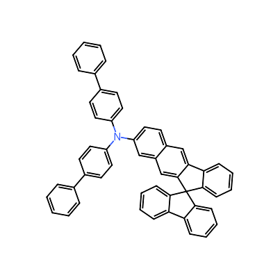 c1ccc(-c2ccc(N(c3ccc(-c4ccccc4)cc3)c3ccc4cc5c(cc4c3)C3(c4ccccc4-c4ccccc43)c3ccccc3-5)cc2)cc1